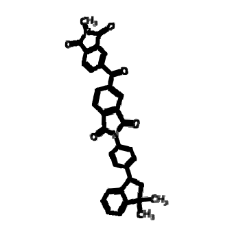 CN1C(=O)c2ccc(C(=O)c3ccc4c(c3)C(=O)N(c3ccc(C5CC(C)(C)c6ccccc65)cc3)C4=O)cc2C1=O